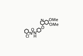 COc1cc2nccc(Oc3ccc(NC(=O)[N]c4ccccc4Cl)cc3)c2cc1OC